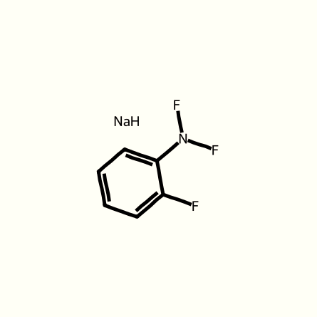 Fc1ccccc1N(F)F.[NaH]